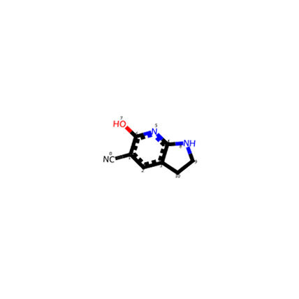 N#Cc1cc2c(nc1O)NCC2